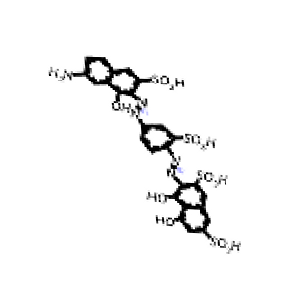 Nc1ccc2cc(S(=O)(=O)O)c(/N=N/c3ccc(/N=N/c4c(S(=O)(=O)O)cc5cc(S(=O)(=O)O)cc(O)c5c4O)c(S(=O)(=O)O)c3)c(O)c2c1